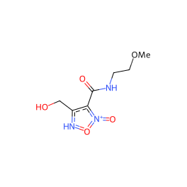 COCCNC(=O)c1c(CO)[nH]o[n+]1=O